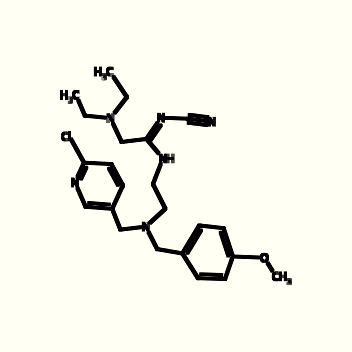 CCN(CC)C/C(=N/C#N)NCCN(Cc1ccc(OC)cc1)Cc1ccc(Cl)nc1